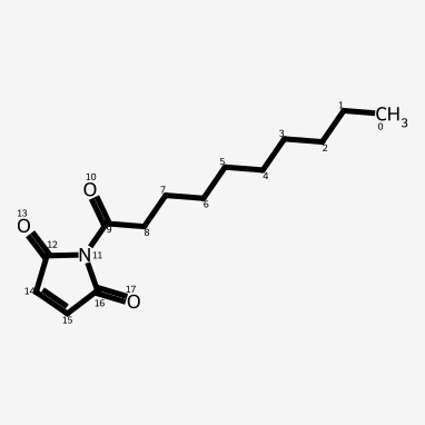 CCCCCCCCCC(=O)N1C(=O)C=CC1=O